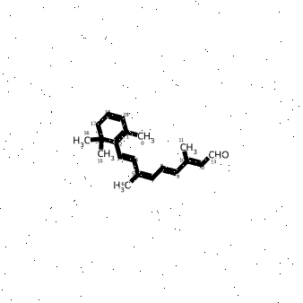 CC1=C(/C=C/C(C)=C\C=C\C(C)=C\C=O)C(C)(C)CC=C1